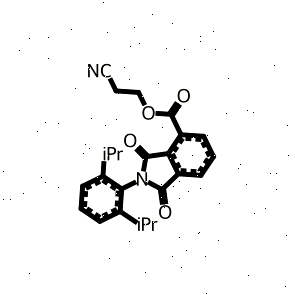 CC(C)c1cccc(C(C)C)c1N1C(=O)c2cccc(C(=O)OCCC#N)c2C1=O